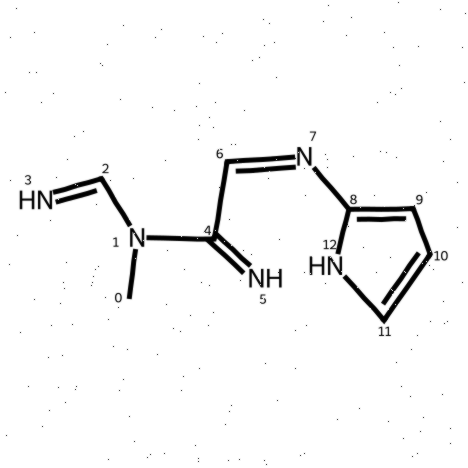 CN(C=N)C(=N)/C=N\c1ccc[nH]1